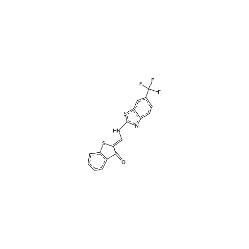 O=C1C(=CNc2nc3ccc(C(F)(F)F)cc3s2)Sc2ccccc21